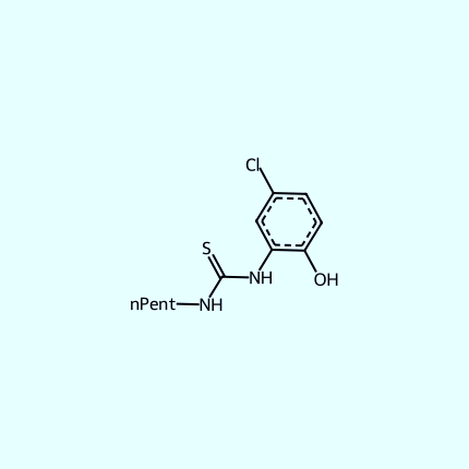 CCCCCNC(=S)Nc1cc(Cl)ccc1O